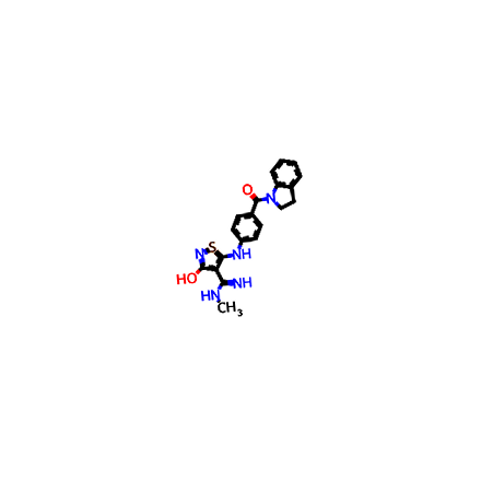 CNC(=N)c1c(O)nsc1Nc1ccc(C(=O)N2CCc3ccccc32)cc1